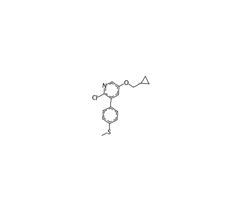 CSc1ccc(-c2cc(OC[C]3CC3)cnc2Cl)cc1